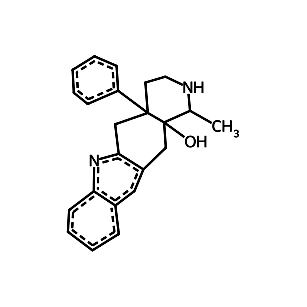 CC1NCCC2(c3ccccc3)Cc3nc4ccccc4cc3CC12O